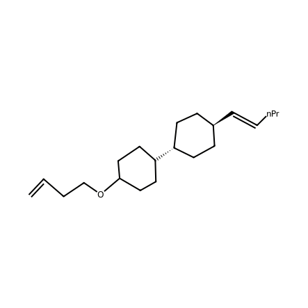 C=CCCOC1CCC([C@H]2CC[C@H](/C=C/CCC)CC2)CC1